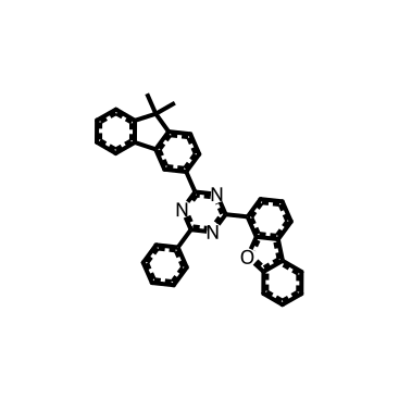 CC1(C)c2ccccc2-c2cc(-c3nc(-c4ccccc4)nc(-c4cccc5c4oc4ccccc45)n3)ccc21